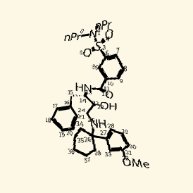 CCCN(CCC)S(=O)(=O)c1cccc(C(=O)N[C@@H](Cc2ccccc2)[C@H](O)CNC2(c3cccc(OC)c3)CCCCC2)c1